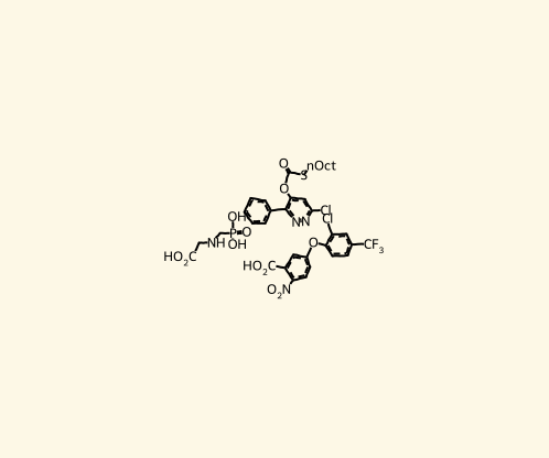 CCCCCCCCSC(=O)Oc1cc(Cl)nnc1-c1ccccc1.O=C(O)CNCP(=O)(O)O.O=C(O)c1cc(Oc2ccc(C(F)(F)F)cc2Cl)ccc1[N+](=O)[O-]